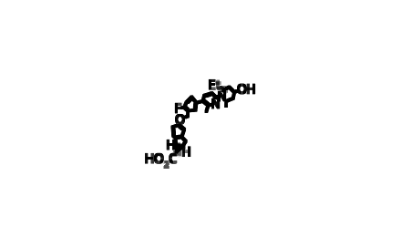 CC[C@H]1CC(O)CC(C)N1c1ccc(-c2ccc(F)c(COc3ccc4c(c3)C[C@H]3[C@H](C(=O)O)[C@@H]43)c2)c(C)n1